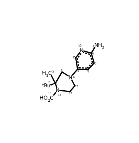 CC(C)(C)[C@@]1(C)CN(c2ccc(N)nc2)CCN1C(=O)O